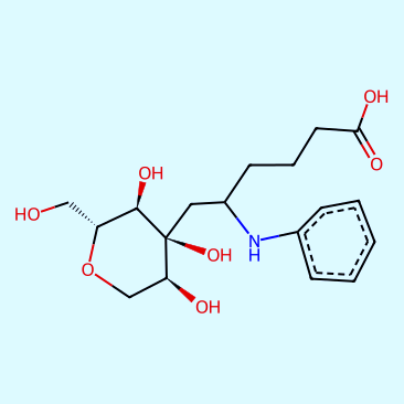 O=C(O)CCCC(C[C@@]1(O)[C@H](O)[C@@H](CO)OC[C@@H]1O)Nc1ccccc1